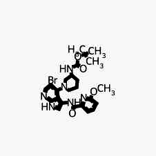 COc1cccc(C(=O)Nc2c[nH]c3ncc(Br)c(N4CCCC(NC(=O)OC(C)(C)C)C4)c23)n1